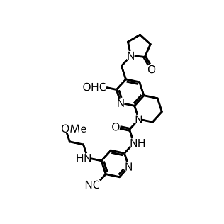 COCCNc1cc(NC(=O)N2CCCc3cc(CN4CCCC4=O)c(C=O)nc32)ncc1C#N